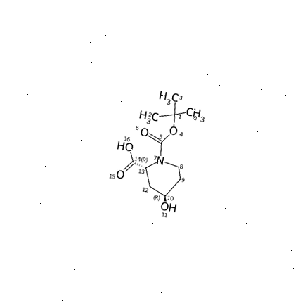 CC(C)(C)OC(=O)N1CC[C@@H](O)C[C@@H]1C(=O)O